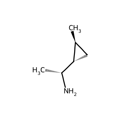 C[C@@H](N)[C@H]1C[C@@H]1C